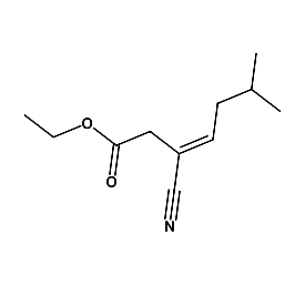 CCOC(=O)C/C(C#N)=C\CC(C)C